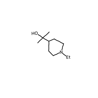 CCN1CCC(C(C)(C)O)CC1